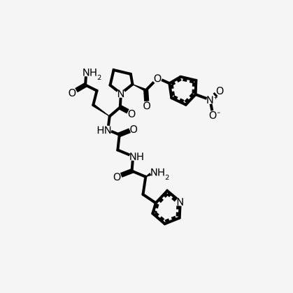 NC(=O)CC[C@H](NC(=O)CNC(=O)[C@@H](N)Cc1cccnc1)C(=O)N1CCC[C@H]1C(=O)Oc1ccc([N+](=O)[O-])cc1